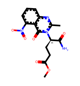 COC(=O)CC[C@H](C(N)=O)n1c(C)nc2cccc([N+](=O)[O-])c2c1=O